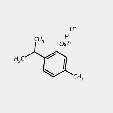 Cc1ccc(C(C)C)cc1.[H-].[H-].[Os+2]